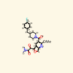 COc1nc2coc(C(=O)C(=O)N(C)C)c2cc1C(=O)N1CCC(Cc2ccc(F)cc2)CC1